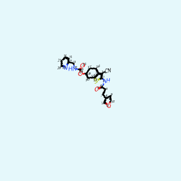 N#Cc1c(NC(=O)C=Cc2ccoc2)sc2c1CCC(OC(=O)NCc1ccccn1)C2